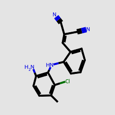 Cc1ccc(N)c(Nc2ccccc2C=C(C#N)C#N)c1Cl